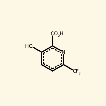 O=C(O)c1nc(C(F)(F)F)ccc1O